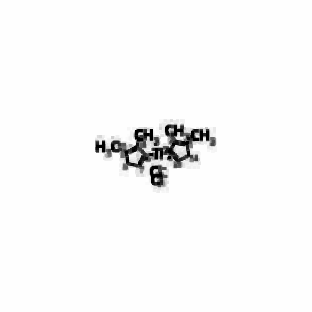 CC1=C(C)[C]([Ti+2][C]2=CCC(C)=C2C)=CC1.[Cl-].[Cl-]